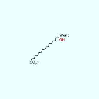 CCCCCC(O)CCCC=CC=CC=CC=CC=CC=CC(=O)O